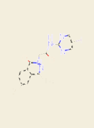 CCC(C)c1nn(CC(=O)Nc2ncc(I)cn2)c(=O)c2ccc(Br)cc12